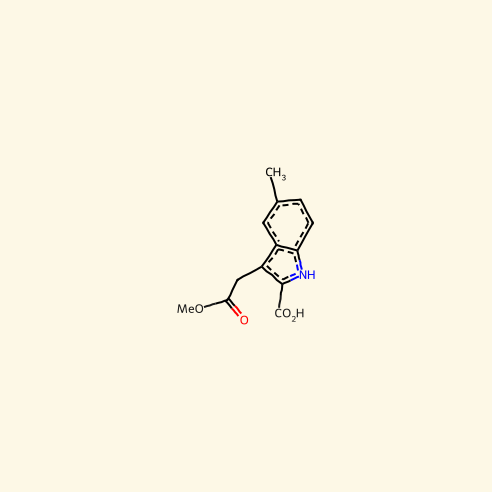 COC(=O)Cc1c(C(=O)O)[nH]c2ccc(C)cc12